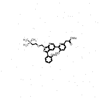 COC(=O)Cc1ccc(O)c(-c2cnc3c(c2)c(-c2ccccc2OC)nn3COCC[Si](C)(C)C)n1